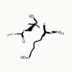 CCCCCCC(=O)OCC(C)(C)CO.CCCCCCCCCCCCCCCC(=O)OCCCCCCCC